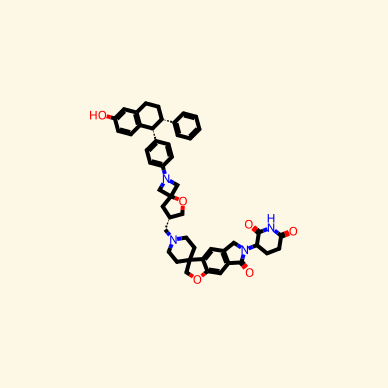 O=C1CCC(N2Cc3cc4c(cc3C2=O)OCC42CCN(C[C@H]3COC4(C3)CN(c3ccc([C@@H]5c6ccc(O)cc6CC[C@@H]5c5ccccc5)cc3)C4)CC2)C(=O)N1